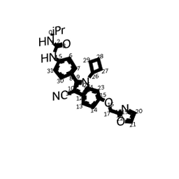 CC(C)NC(=O)Nc1ccc(-c2c(C#N)c3ccc(OCc4ncco4)cc3n2C2CCC2)cc1